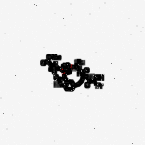 COC(=O)c1coc(-c2nc3oc2[C@]2(c4ccccc4)C(=O)Nc4ccc(cc42)CC[C@H](NC(=O)[C@@H](O)C(C)C)C(=O)N[C@H]3C(C)(C)C)n1